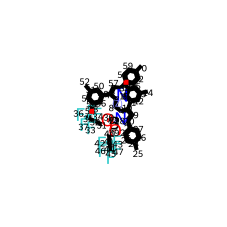 Cc1ccc(C2=N/C(=C\c3c(-c4cc(C)cc(C)c4)cc(-c4ccc(C)cc4)n3B(OCC(F)(F)C(F)(F)F)OCC(F)(F)C(F)(F)F)C(c3cc(C)cc(C)c3)=C2)cc1